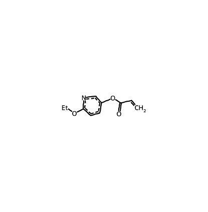 C=CC(=O)Oc1ccc(OCC)nc1